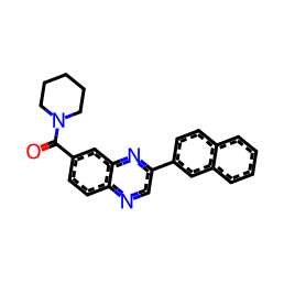 O=C(c1ccc2ncc(-c3ccc4ccccc4c3)nc2c1)N1CCCCC1